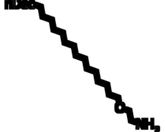 CCCCCCCCCCCCCCCCCCCCCCCCCOCCN